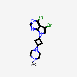 CC(=O)N1CCN(C2CC(n3cc(Br)c4c(Cl)ncnc43)C2)CC1